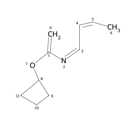 C=C(/N=C\C=C/C)OC1CCC1